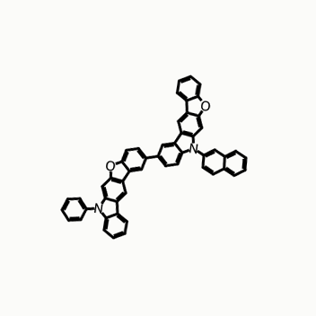 c1ccc(-n2c3ccccc3c3cc4c(cc32)oc2ccc(-c3ccc5c(c3)c3cc6c(cc3n5-c3ccc5ccccc5c3)oc3ccccc36)cc24)cc1